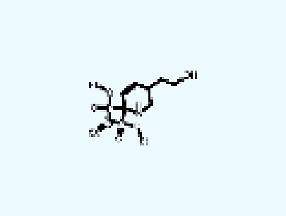 CCOP(=O)(OCC)C1(P(=O)(OCC)OCC)C=CC(CCO)CN1